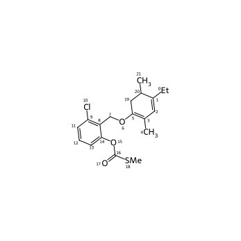 CCC1=CC(C)=C(OCc2c(Cl)cccc2OC(=O)SC)CC1C